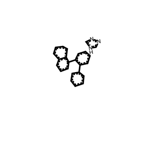 c1ccc(-c2ccccc2-c2cccc3ccccc23)cc1.c1nnc[nH]1